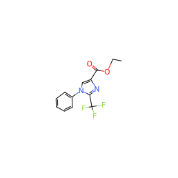 CCOC(=O)c1cn(-c2ccccc2)c(C(F)(F)F)n1